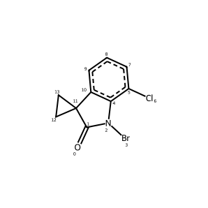 O=C1N(Br)c2c(Cl)cccc2C12CC2